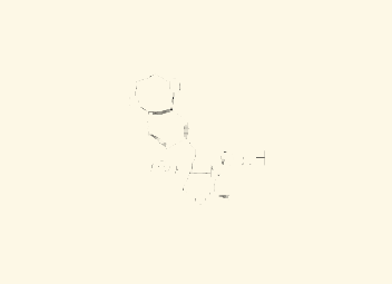 CC(C)(C)[C@@]1(Cc2ccc3c(c2)OCCO3)COS(=O)N1C(=O)O